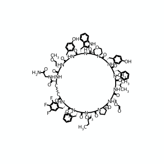 CCCC[C@H]1C(=O)N2CCC[C@@H]2C(=O)N[C@@H](COC=O)C(=O)N[C@@H](C(C)C)C(=O)N(C)[C@@H](Cc2ccccc2)C(=O)N[C@@H](Cc2ccc(O)cc2)C(=O)N2CCOC[C@@H]2C(=O)N[C@@H](Cc2c[nH]c3ccccc23)C(=O)N[C@@H](Cc2ccc(O)cc2)C(=O)N[C@@H](CCOC)C(=O)N[C@H](C(=O)NCC(N)=O)CSCC(=O)N[C@@H](Cc2cc(F)c(F)c(F)c2)C(=O)N(C)[C@@H](Cc2ccccc2)C(=O)N1C